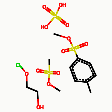 COS(=O)(=O)c1ccc(C)cc1.COS(C)(=O)=O.O=S(=O)(O)O.OCCOCl